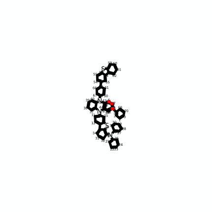 c1ccc(-c2cccc(N(c3ccc4c(c3)sc3c(N(c5ccccc5)c5ccccc5)cccc34)c3ccccc3N(c3ccccc3)c3ccc(-c4ccc5sc6ccccc6c5c4)cc3)c2)cc1